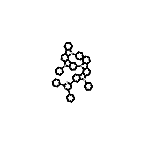 c1ccc(-c2cc(-c3ccc4c5c(ccc6c7ccccc7n(-c7ccc8c(c7)c7c(ccc9c%10ccccc%10n(-c%10ccccc%10)c97)n8-c7ccccc7)c65)n(-c5ccccc5)c4c3)nc(-c3ccccc3)n2)cc1